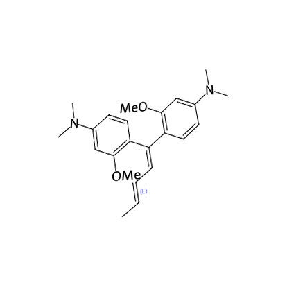 C/C=C/C=C(c1ccc(N(C)C)cc1OC)c1ccc(N(C)C)cc1OC